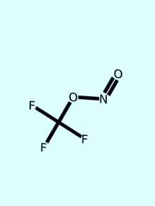 O=NOC(F)(F)F